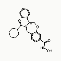 O=C(NO)c1ccc2c(c1)OC[C@H](c1ccccc1)N(C(=O)C1CCCCC1)C2